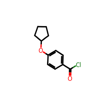 O=C(Cl)c1ccc(OC2CCCC2)cc1